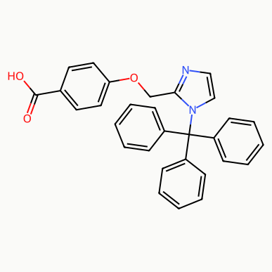 O=C(O)c1ccc(OCc2nccn2C(c2ccccc2)(c2ccccc2)c2ccccc2)cc1